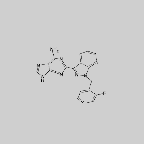 Nc1nc(-c2nn(Cc3ccccc3F)c3ncccc23)nc2[nH]cnc12